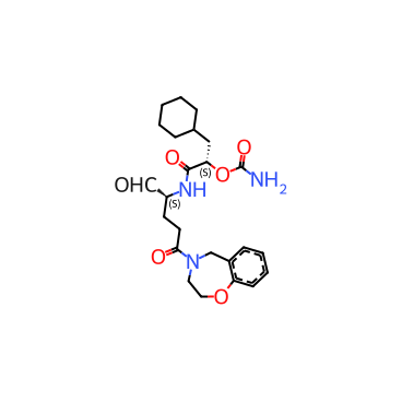 NC(=O)O[C@@H](CC1CCCCC1)C(=O)N[C@H](C=O)CCC(=O)N1CCOc2ccccc2C1